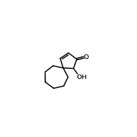 O=C1C=CC2(CCCCCC2)C1O